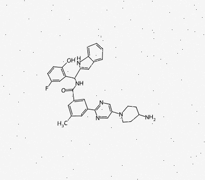 Cc1cc(C(=O)NC(c2cc3ccccc3[nH]2)c2cc(F)ccc2O)cc(-c2ncc(N3CCC(N)CC3)cn2)c1